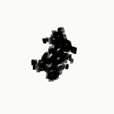 CCOc1cc(C(C)(C)C)ncc1C1=N[C@@](C)(c2ccc(Cl)cc2)[C@@](C)(c2ccc(Cl)cc2)N1C(=O)N1CCC(C(=O)Nc2ccccc2)CC1